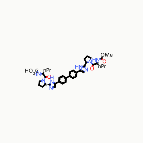 CCC[C@H](NC(=O)OC)C(=O)N1CCCC1c1ncc(-c2ccc(-c3ccc(-c4cnc([C@@H]5CCCN5C(=O)[C@H](CCC)NC(=O)O)[nH]4)cc3)cc2)[nH]1